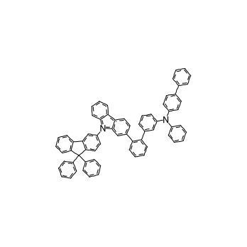 c1ccc(-c2ccc(N(c3ccccc3)c3cccc(-c4ccccc4-c4ccc5c6ccccc6n(-c6ccc7c(c6)-c6ccccc6C7(c6ccccc6)c6ccccc6)c5c4)c3)cc2)cc1